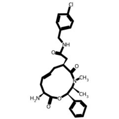 C[C@H]1[C@@H](c2ccccc2)OC(=O)[C@@H](N)C/C=C/C[C@@H](CC(=O)NCc2ccc(Cl)cc2)C(=O)N1C